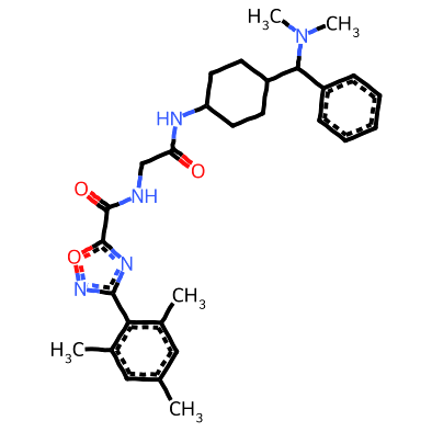 Cc1cc(C)c(-c2noc(C(=O)NCC(=O)NC3CCC(C(c4ccccc4)N(C)C)CC3)n2)c(C)c1